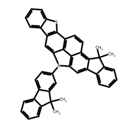 CC1(C)c2ccccc2-c2ccc(-n3c4cc5c(c6ccc7c8sc9ccccc9c8cc3c7c64)C(C)(C)c3ccccc3-5)cc21